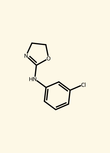 Clc1cccc(NC2=NCCO2)c1